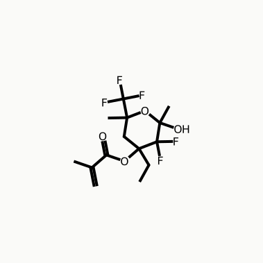 C=C(C)C(=O)OC1(CC)CC(C)(C(F)(F)F)OC(C)(O)C1(F)F